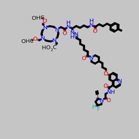 C#C[C@H]1CC(F)(F)CN1C(=O)CNC(=O)c1ccnc2ccc(OCCCC3CCN(C(=O)CCCCC/C=N/NC(CCCCNC(=O)CCCc4ccc(C)cc4)NC(=O)CN4CCN(COC=O)CCN(COC=O)CCN(CC(=O)O)CC4)CC3)cc12